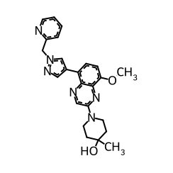 COc1ccc(-c2cnn(Cc3ccccn3)c2)c2ncc(N3CCC(C)(O)CC3)nc12